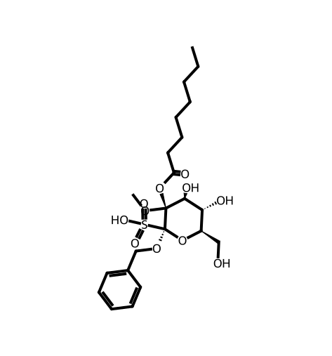 CCCCCCCC(=O)O[C@@]1(OC)[C@@H](O)[C@H](O)[C@@H](CO)O[C@@]1(OCc1ccccc1)S(=O)(=O)O